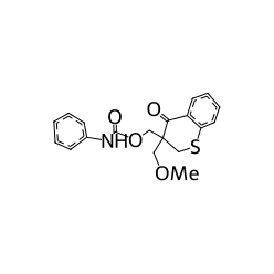 COCC1(COC(=O)Nc2ccccc2)CSc2ccccc2C1=O